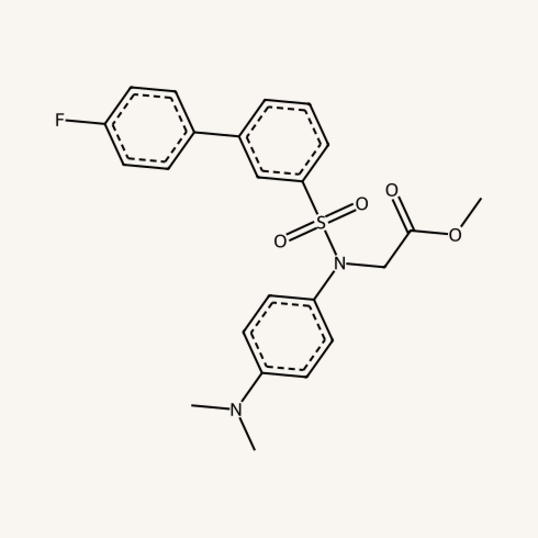 COC(=O)CN(c1ccc(N(C)C)cc1)S(=O)(=O)c1cccc(-c2ccc(F)cc2)c1